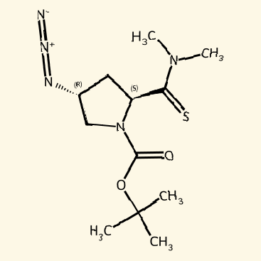 CN(C)C(=S)[C@@H]1C[C@@H](N=[N+]=[N-])CN1C(=O)OC(C)(C)C